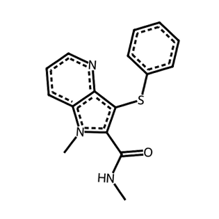 CNC(=O)c1c(Sc2ccccc2)c2ncccc2n1C